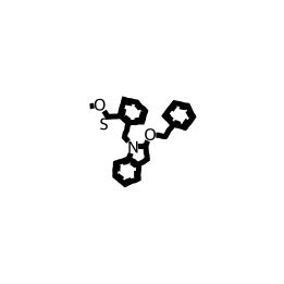 COC(=S)c1ccccc1CN1c2ccccc2CC1OCc1ccccc1